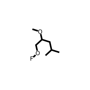 COC(COF)CC(C)C